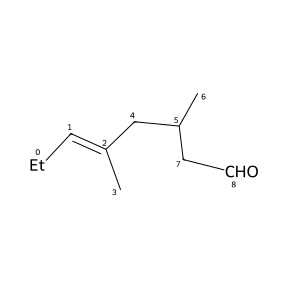 CC/C=C(\C)CC(C)CC=O